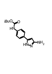 CC(C)COC(=O)Nc1ccc(-c2cc(N)n[nH]2)cc1